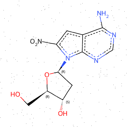 Nc1ncnc2c1cc([N+](=O)[O-])n2[C@H]1C[C@H](O)[C@@H](CO)O1